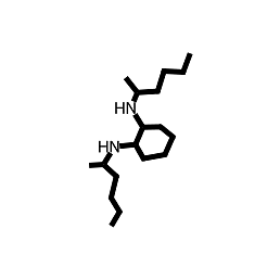 CCCCC(C)NC1CCCCC1NC(C)CCCC